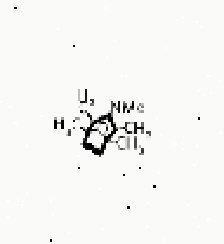 CNC1[C@@H](C)[C@@]2(C)C=C[C@](C)(O2)[C@H]1C